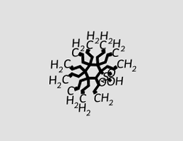 C=CCC1C(CC=C)(CC=C)C(CC=C)(CC=C)C(CC=C)(CC=C)C(CC=C)(CC=C)C1(CC=C)S(=O)(=O)O